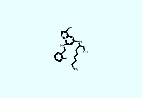 CC(C)c1cnn2c(NCc3ccccc3F)cc(NC(CO)CCCCCN)nc12